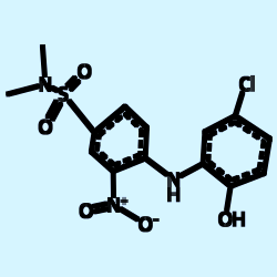 CN(C)S(=O)(=O)c1ccc(Nc2cc(Cl)ccc2O)c([N+](=O)[O-])c1